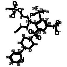 CCCN(CCOS(C)(=O)=O)c1c(C(F)(F)F)cc([N+](=O)[O-])cc1S(=O)(=O)N1CCN(c2ccccn2)CC1